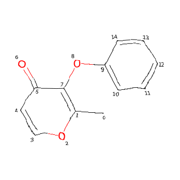 Cc1occc(=O)c1Oc1ccccc1